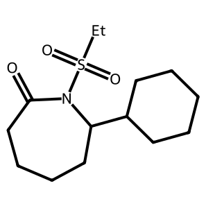 CCS(=O)(=O)N1C(=O)CCCCC1C1CCCCC1